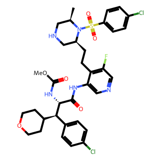 COC(=O)N[C@H](C(=O)Nc1cncc(F)c1CC[C@H]1CNC[C@@H](C)N1S(=O)(=O)c1ccc(Cl)cc1)[C@@H](c1ccc(Cl)cc1)C1CCOCC1